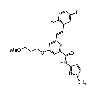 COCCCOc1cc(/C=C/c2cc(F)ccc2F)cc(C(=O)Nc2ccn(C)n2)c1